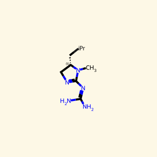 CC(C)C[C@H]1CN=C(N=C(N)N)N1C